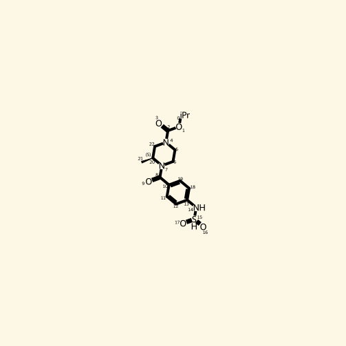 CC(C)OC(=O)N1CCN(C(=O)c2ccc(N[SH](=O)=O)cc2)[C@@H](C)C1